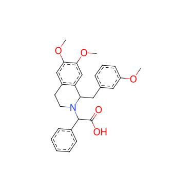 COc1cccc(CC2c3cc(OC)c(OC)cc3CCN2C(C(=O)O)c2ccccc2)c1